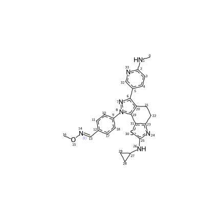 CNc1ccc(-c2nn(-c3ccc(/C=N/OC)cc3)c3c2CCc2nc(NC4CC4)sc2-3)cn1